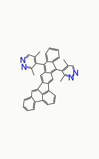 Cc1cnnc(C)c1-c1c2ccccc2c(-c2c(C)cnnc2C)c2cc3c(cc12)-c1cccc2c1c-3cc1ccccc12